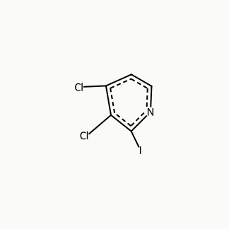 Clc1ccnc(I)c1Cl